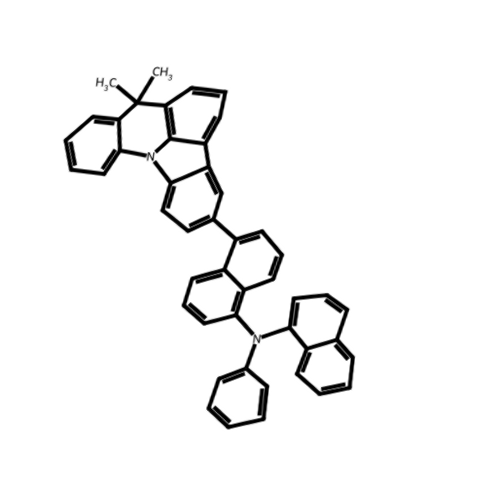 CC1(C)c2ccccc2-n2c3ccc(-c4cccc5c(N(c6ccccc6)c6cccc7ccccc67)cccc45)cc3c3cccc1c32